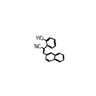 N#CC(=Cc1ccc2ccccc2c1)c1ccccc1O